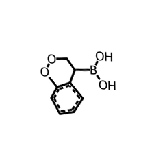 OB(O)C1COOc2ccccc21